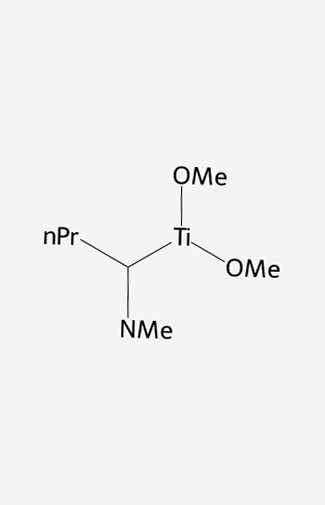 CCC[CH](NC)[Ti]([O]C)[O]C